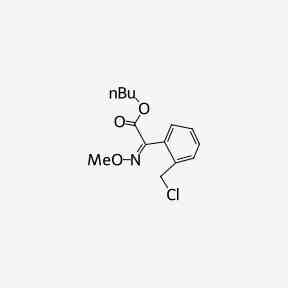 CCCCOC(=O)C(=NOC)c1ccccc1CCl